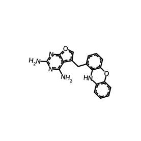 Nc1nc(N)c2c(Cc3cccc4c3Nc3ccccc3O4)coc2n1